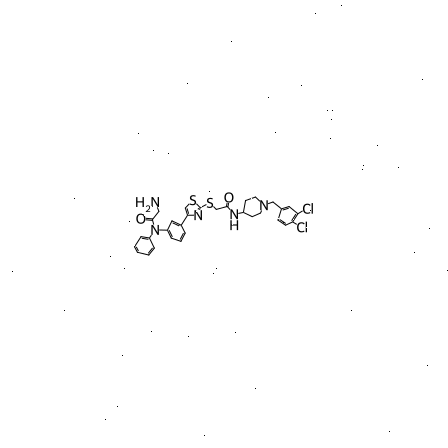 NCC(=O)N(c1ccccc1)c1cccc(-c2csc(SCC(=O)NC3CCN(Cc4ccc(Cl)c(Cl)c4)CC3)n2)c1